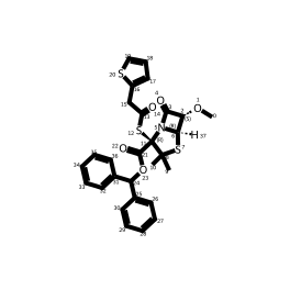 CO[C@H]1C(=O)N2[C@@H]1SC(C)(C)[C@]2(SC(=O)Cc1cccs1)C(=O)OC(c1ccccc1)c1ccccc1